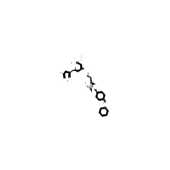 FC(F)(F)c1cc(NCCc2cn(-c3ccc(Oc4ccccc4)cc3)nn2)cc(-c2cn[nH]c2)n1